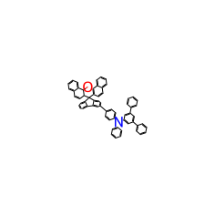 C1=CC2C(Oc3c(ccc4ccccc34)C23c2ccccc2-c2cc(-c4ccc(N(c5ccccc5)c5cc(-c6ccccc6)cc(-c6ccccc6)c5)cc4)ccc23)c2ccccc21